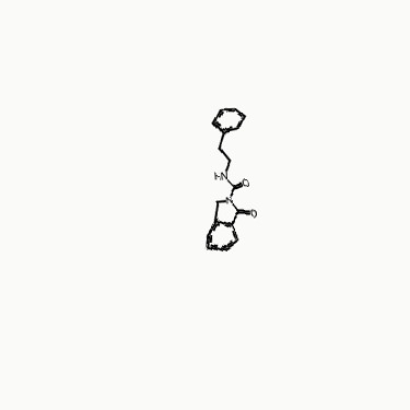 O=C(NCCc1ccccc1)N1Cc2ccccc2C1=O